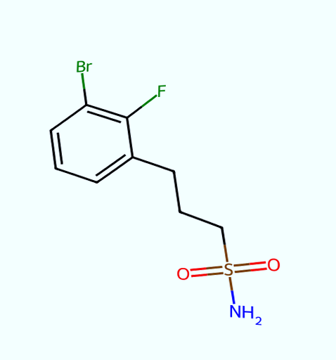 NS(=O)(=O)CCCc1cccc(Br)c1F